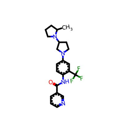 CC1CCCN1C1CCN(c2ccc(NC(=O)c3cccnc3)c(C(F)(F)F)c2)C1